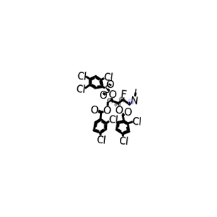 O=C(OC[C@@H](OS(=O)(=O)c1cc(Cl)c(Cl)cc1Cl)[C@@H](OC(=O)c1ccc(Cl)cc1Cl)[C@H](F)/C=N\I)c1ccc(Cl)cc1Cl